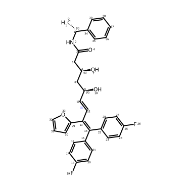 C[C@@H](NC(=O)C[C@@H](O)C[C@@H](O)/C=C/C(=C(c1ccc(F)cc1)c1ccc(F)cc1)c1ccco1)c1ccccc1